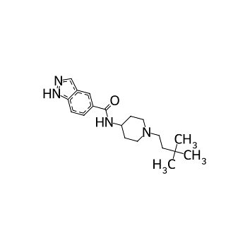 CC(C)(C)CCN1CCC(NC(=O)c2ccc3[nH]ncc3c2)CC1